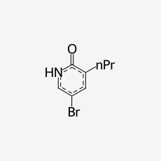 CCCc1cc(Br)c[nH]c1=O